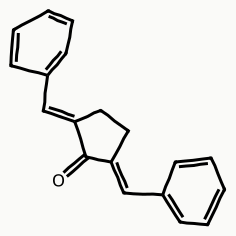 O=C1C(=Cc2ccccc2)CCC1=Cc1ccccc1